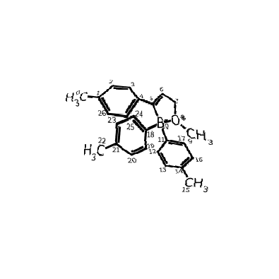 Cc1ccc(C2=CC[O+](C)[B-]2(c2ccc(C)cc2)c2ccc(C)cc2)cc1